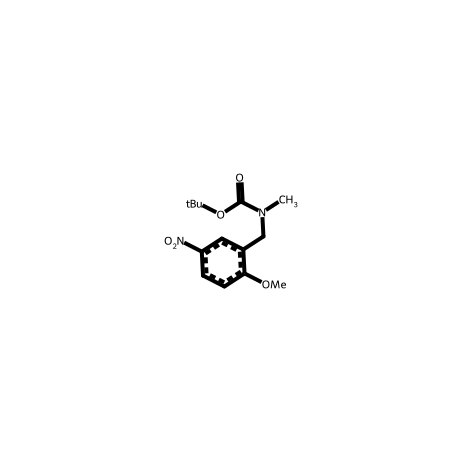 COc1ccc([N+](=O)[O-])cc1CN(C)C(=O)OC(C)(C)C